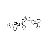 CC1(C)c2ccccc2-c2cc(N(c3ccccc3)c3ccc4sc5ccc(-c6ccc7c(c6)c6ccccc6n7-c6ccccc6)cc5c4c3)ccc21